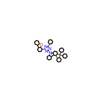 c1ccc(-c2nc(-c3cccc4c3oc3ccccc34)nc(-n3c4ccccc4c4c5c(ccc43)C(c3ccccc3)(c3ccccc3)c3ccccc3-5)n2)cc1